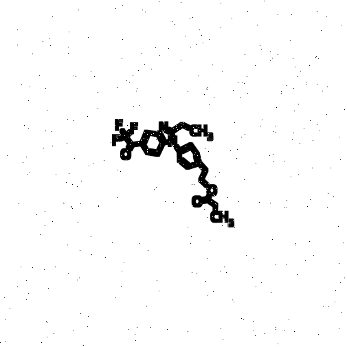 CCC(=O)OCCc1ccc(-n2c(CC)nc3cc(C(=O)C(F)(F)F)ccc32)cc1